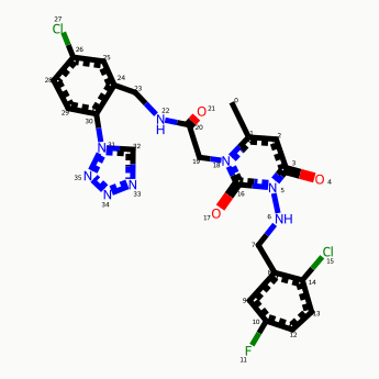 Cc1cc(=O)n(NCc2cc(F)ccc2Cl)c(=O)n1CC(=O)NCc1cc(Cl)ccc1-n1cnnn1